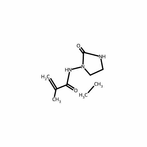 C=C(C)C(=O)NN1CCNC1=O.CC